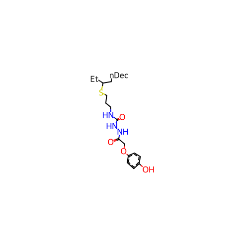 CCCCCCCCCCCC(CC)SCCCNC(=O)NNC(=O)COc1ccc(O)cc1